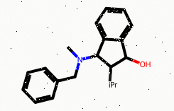 CC(C)C1C(O)c2ccccc2C1N(C)Cc1ccccc1